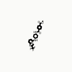 COC(=O)c1ccc(C(=O)N[C@H]2CC[C@@H](Nc3cccc4nc(C(F)(F)F)cn34)CC2)cc1